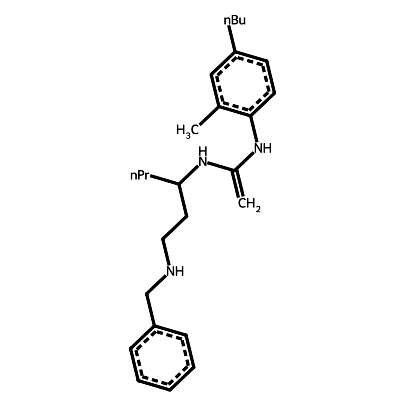 C=C(Nc1ccc(CCCC)cc1C)NC(CCC)CCNCc1ccccc1